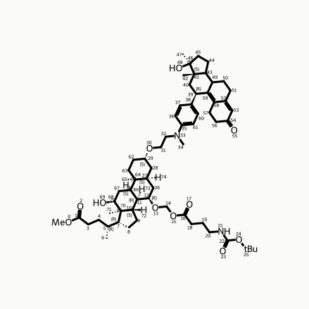 COC(=O)CC[C@@H](C)[C@H]1CC[C@H]2[C@@H]3[C@H](OCOC(=O)CCCNC(=O)OC(C)(C)C)C[C@@H]4C[C@@H](OCCN(C)c5ccc([C@H]6C[C@@]7(C)C(CC[C@]7(C)O)C7CCC8=CC(=O)CCC8=C76)cc5)CC[C@]4(C)[C@H]3C[C@H](O)[C@]12C